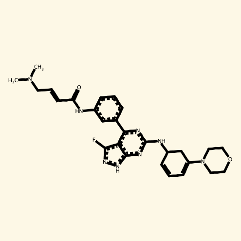 CN(C)C/C=C/C(=O)Nc1cccc(-c2nc(NC3C=CC=C(N4CCOCC4)C3)nc3[nH]nc(F)c23)c1